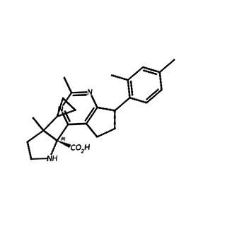 Cc1ccc(C2CCc3c2nc(C)nc3[C@]2(C(=O)O)NCCC2(C)C2CC2)c(C)c1